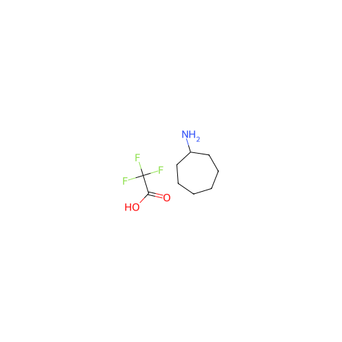 NC1CCCCCC1.O=C(O)C(F)(F)F